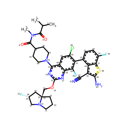 CC(C)C(=O)N(C)C(=O)C1CCN(c2nc(OC[C@@]34CCCN3C[C@H](F)C4)nc3c(F)c(-c4ccc(F)c5sc(N)c(C#N)c45)c(Cl)cc23)CC1